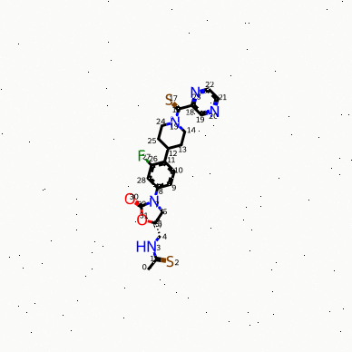 CC(=S)NC[C@H]1CN(c2ccc(C3CCN(C(=S)c4cnccn4)CC3)c(F)c2)C(=O)O1